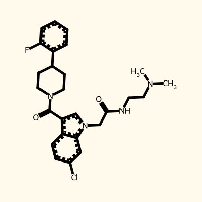 CN(C)CCNC(=O)Cn1cc(C(=O)N2CCC(c3ccccc3F)CC2)c2ccc(Cl)cc21